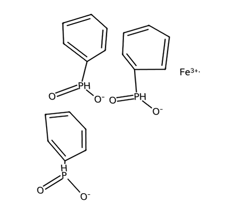 O=[PH]([O-])c1ccccc1.O=[PH]([O-])c1ccccc1.O=[PH]([O-])c1ccccc1.[Fe+3]